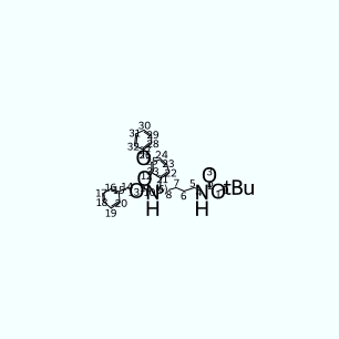 CC(C)(C)OC(=O)NCCCC[C@H](NC(=O)OCc1ccccc1)c1cccc(Oc2ccccc2)c1